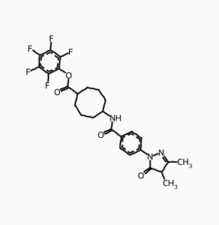 CC1=NN(c2ccc(C(=O)NC3CCCC(C(=O)Oc4c(F)c(F)c(F)c(F)c4F)CCC3)cc2)C(=O)C1C